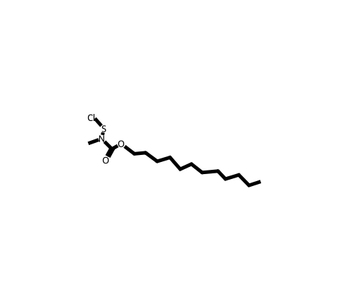 CCCCCCCCCCCCOC(=O)N(C)SCl